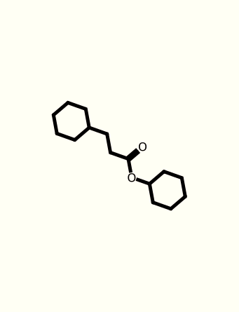 O=C(CCC1CCCCC1)OC1CCCCC1